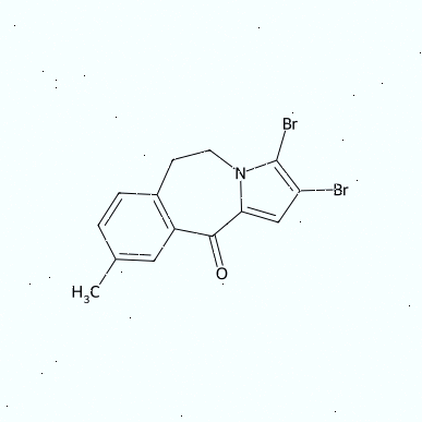 Cc1ccc2c(c1)C(=O)c1cc(Br)c(Br)n1CC2